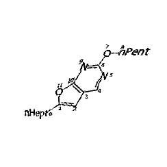 CCCCCCCc1cc2cnc(OCCCCC)nc2o1